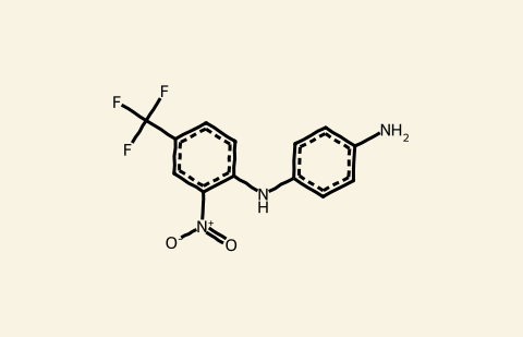 Nc1ccc(Nc2ccc(C(F)(F)F)cc2[N+](=O)[O-])cc1